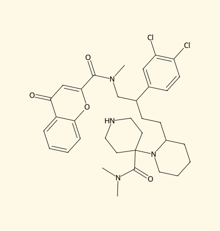 CN(C)C(=O)C1(N2CCCCC2CCC(CN(C)C(=O)c2cc(=O)c3ccccc3o2)c2ccc(Cl)c(Cl)c2)CCNCC1